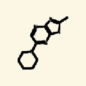 Cc1nc2ncc(N3CCCCC3)nc2s1